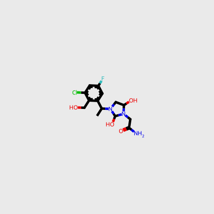 CC(c1cc(F)cc(Cl)c1CO)N1CC(O)N(CC(N)=O)C1O